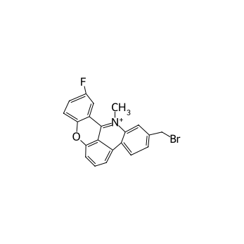 C[n+]1c2c3c(cccc3c3ccc(CBr)cc31)Oc1ccc(F)cc1-2